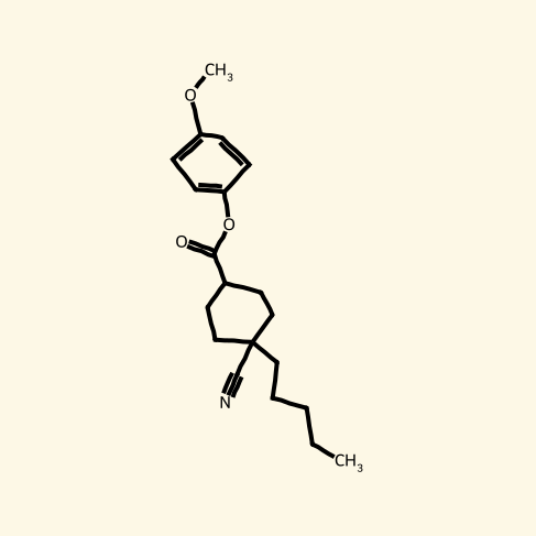 CCCCCC1(C#N)CCC(C(=O)Oc2ccc(OC)cc2)CC1